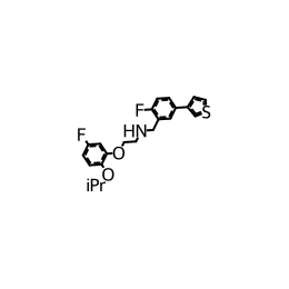 CC(C)Oc1ccc(F)cc1OCCNCc1cc(-c2ccsc2)ccc1F